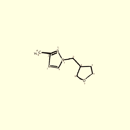 Cc1ncn(CC2CCOC2)n1